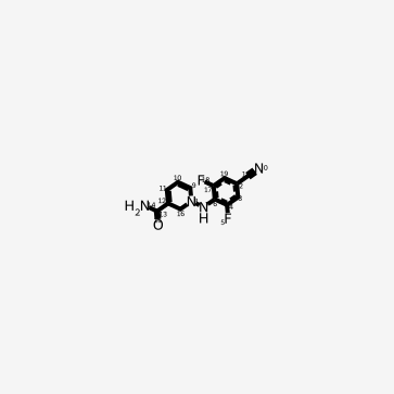 N#Cc1cc(F)c(NN2C=CC=C(C(N)=O)C2)c(F)c1